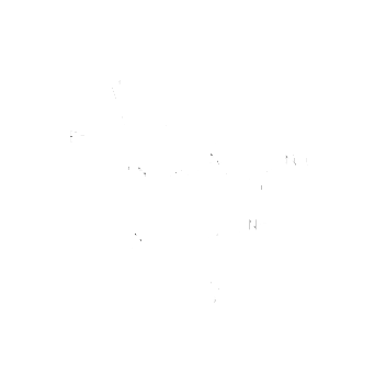 CCC(C)(C)n1cnc2c(=O)[nH]c(N)nc21